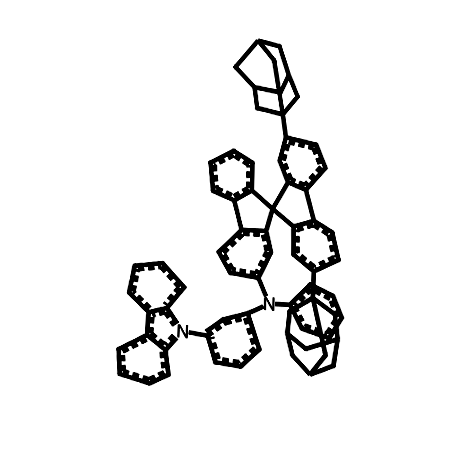 c1ccc(N(c2cccc(-n3c4ccccc4c4ccccc43)c2)c2ccc3c(c2)C2(c4ccccc4-3)c3cc(C45CC6CC(CC(C6)C4)C5)ccc3-c3ccc(C45CC6CC(CC(C6)C4)C5)cc32)cc1